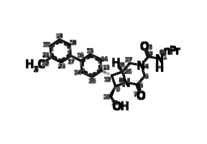 CCCNC(=O)N1CC(=O)N2[C@@H](CO)[C@H](c3ccc(-c4cccc(C)c4)cc3)[C@@H]2C1